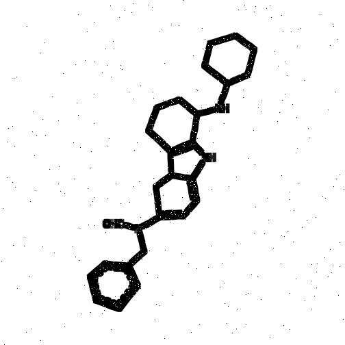 O=CN(Cc1ccccc1)C1=CC=C2NC3=C(CCCC3NC3CCCCC3)C2C1